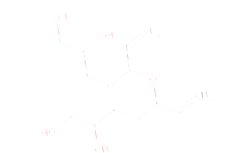 C=CC(OCC(O)CO)OC(C=C)OCC(O)CO